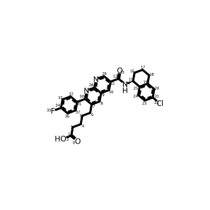 O=C(O)CCCCc1cc2cc(C(=O)N[C@H]3CCCc4cc(Cl)ccc43)cnc2nc1-c1ccc(F)cc1